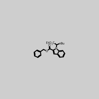 CCCCC(C(=O)OCC)n1c(C(=O)OCc2ccccc2)cc2ccccc21